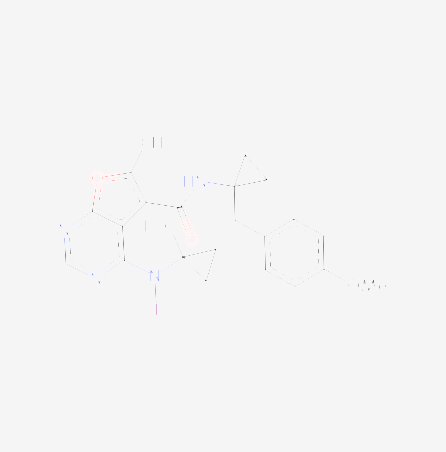 COc1ccc(CC2(NC(=O)c3c(C)oc4ncnc(N(I)C5(C)CC5)c34)CC2)cc1